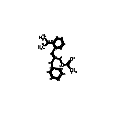 CC(=O)OCC(=Cc1ccccc1C(C)C)Cc1ccccc1